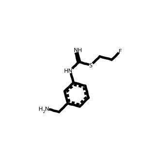 N=C(Nc1cccc(CN)c1)SCCF